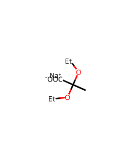 CCOC(C)(OCC)C(=O)[O-].[Na+]